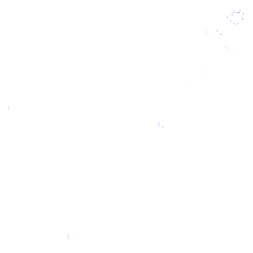 CCCCCCCCCCCCCCCCCCN(CCCCCCCCCCCCCCCCCC)CCOCCOCCOCCOC(=O)C(N)Cc1cnc[nH]1